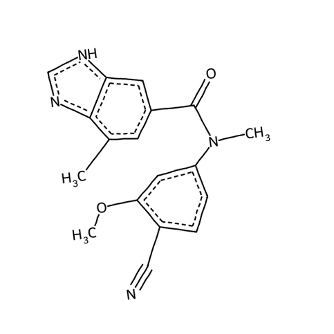 COc1cc(N(C)C(=O)c2cc(C)c3nc[nH]c3c2)ccc1C#N